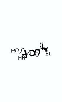 CC[C@@H]1C[C@H]1NC1COC2(CCN(C3(CC(=O)O)CNC3)CC2)C1